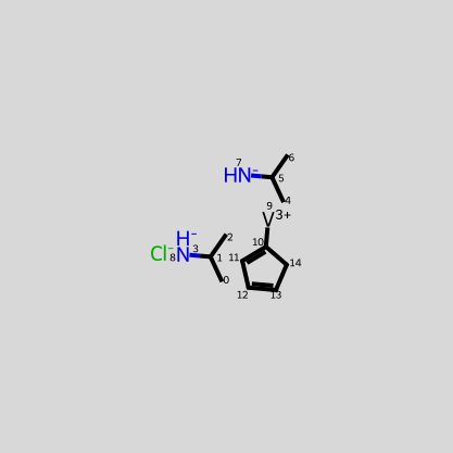 CC(C)[NH-].CC(C)[NH-].[Cl-].[V+3][C]1=CC=CC1